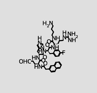 N=C(N)NCCC[C@H](NC(=O)[C@@H](Cc1ccc(F)cc1)NC(=O)[C@H](Cc1c[nH]cn1)NC(=O)[C@H](CCC=O)NC(=O)Cc1ccc2ccccc2c1)C(=O)NCCCCN